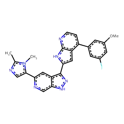 COc1cc(F)cc(-c2ccnc3[nH]c(-c4n[nH]c5cnc(-c6cnc(C)n6C)cc45)cc23)c1